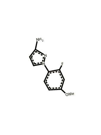 COc1ccc(-n2ccc(N)n2)c(F)c1